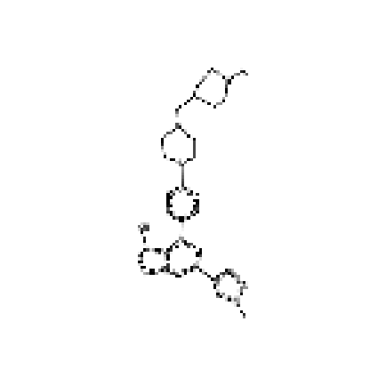 CC(=O)N1CCC(CN2CCN(c3ccc(-c4cc(-c5cnn(C)c5)cn5ncc(C#N)c45)cn3)CC2)CC1